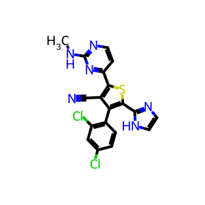 CNc1nccc(-c2sc(-c3ncc[nH]3)c(-c3ccc(Cl)cc3Cl)c2C#N)n1